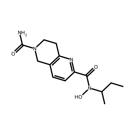 CCC(C)N(O)C(=O)c1ccc2c(n1)CCN(C(N)=O)C2